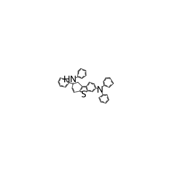 C1=CC(Nc2ccccc2)(c2ccccc2)Cc2c1sc1cc(N(c3ccccc3)c3ccccc3)ccc21